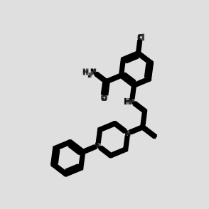 CC(CNc1ccc(Cl)cc1C(N)=O)N1CCN(c2ccccc2)CC1